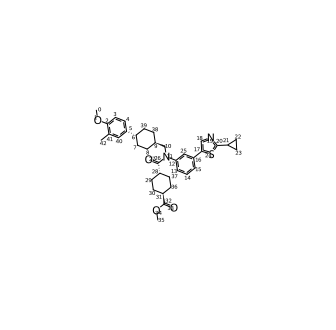 COc1ccc([C@H]2CC[C@H](CN(c3cccc(-c4cnc(C5CC5)s4)c3)C(=O)[C@H]3CC[C@H](C(=O)OC)CC3)CC2)cc1C